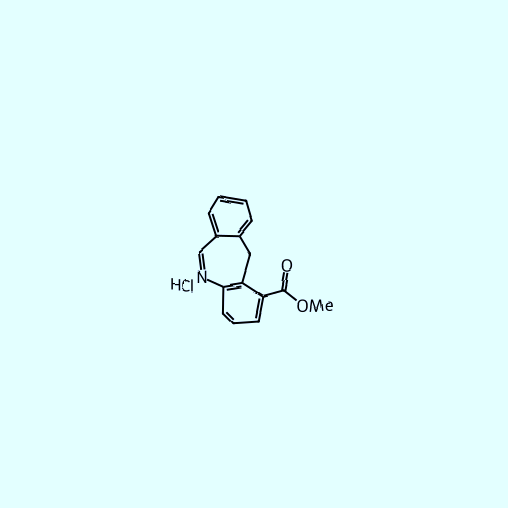 COC(=O)c1cccc2c1Cc1ccccc1C=N2.Cl